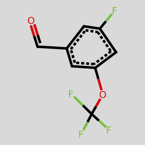 O=Cc1cc(F)cc(OC(F)(F)F)c1